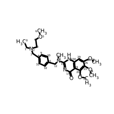 CCN(CCOC)Cc1ccc(CN(C)c2nc(=O)c3c(OC)c(OC)c(OC)cc3[nH]2)cc1